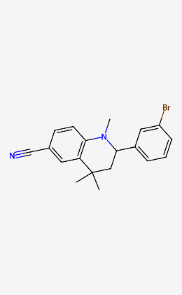 CN1c2ccc(C#N)cc2C(C)(C)CC1c1cccc(Br)c1